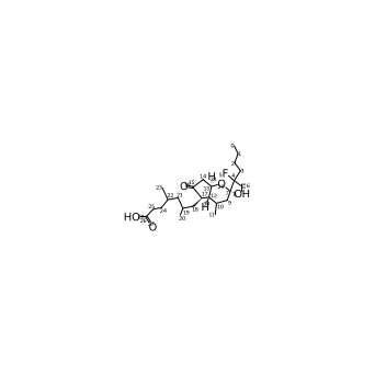 CCCCC(F)(F)[C@@]1(O)CC(C)[C@H]2[C@@H](CC(=O)[C@@H]2CC(C)CC(C)CCC(=O)O)O1